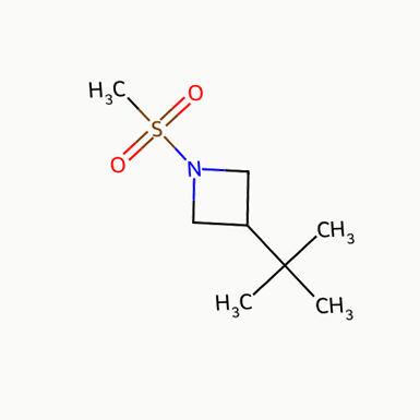 CC(C)(C)C1CN(S(C)(=O)=O)C1